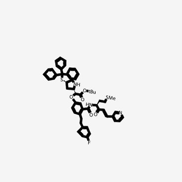 CSCC[C@H](NC(=O)c1cc(OC(C(=O)OC(C)(C)C)[C@@H]2C[C@H](SC(c3ccccc3)(c3ccccc3)c3ccccc3)CN2)ccc1CCc1ccc(F)cc1)C(=O)C=Cc1cccnc1